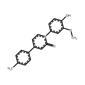 COc1cc(-n2ccc(-c3ccc(C)cc3)cc2=O)ccc1O